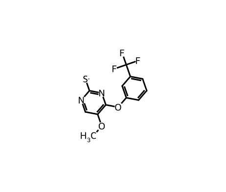 COc1cnc([S])nc1Oc1cccc(C(F)(F)F)c1